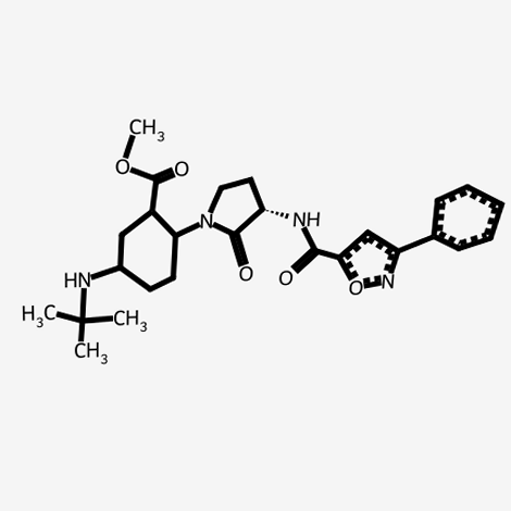 COC(=O)C1CC(NC(C)(C)C)CCC1N1CC[C@H](NC(=O)c2cc(-c3ccccc3)no2)C1=O